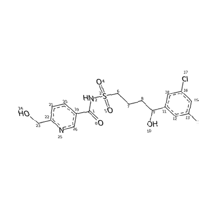 O=C(NS(=O)(=O)CCCC(O)c1cc(Cl)cc(Cl)c1)c1ccc(CO)nc1